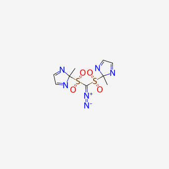 CC1(S(=O)(=O)C(=[N+]=[N-])S(=O)(=O)C2(C)N=CC=N2)N=CC=N1